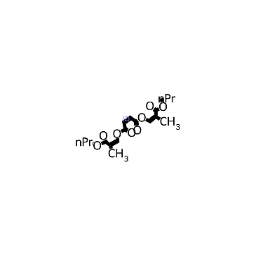 CCCOC(=O)C(C)=COC(=O)/C=C\C(=O)OC=C(C)C(=O)OCCC